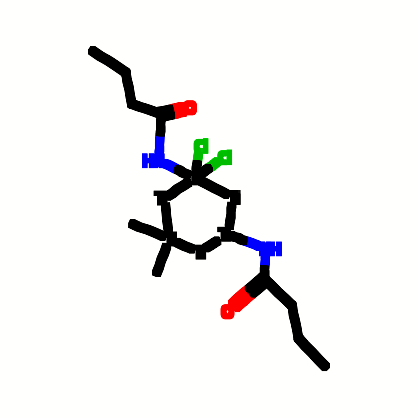 CCCC(=O)[NH][Ti]1[Ti][Ti]([CH3])([CH3])[Ti][Ti]([Cl])([Cl])([NH]C(=O)CCC)[Ti]1